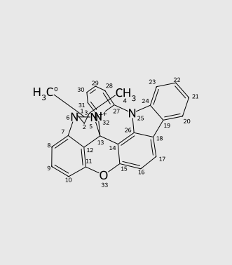 Cc1cc(C)[n+]2n1-c1cccc3c1C21c2c(ccc4c5ccccc5n(c24)-c2cccc[n+]21)O3